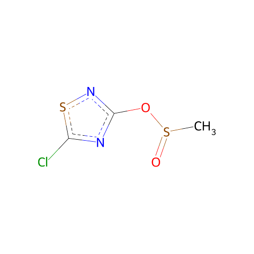 CS(=O)Oc1nsc(Cl)n1